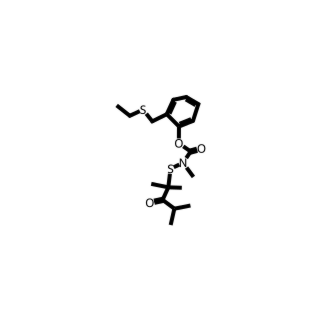 CCSCc1ccccc1OC(=O)N(C)SC(C)(C)C(=O)C(C)C